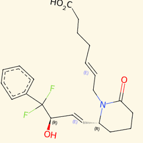 O=C(O)CCC/C=C/CN1C(=O)CCC[C@@H]1/C=C/[C@@H](O)C(F)(F)c1ccccc1